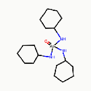 O=[As](NC1CCCCC1)(NC1CCCCC1)NC1CCCCC1